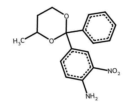 CC1CCOC(c2ccccc2)(c2ccc(N)c([N+](=O)[O-])c2)O1